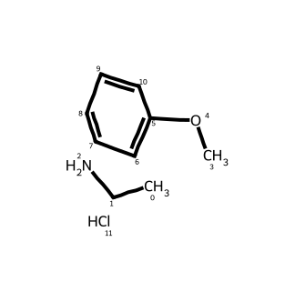 CCN.COc1ccccc1.Cl